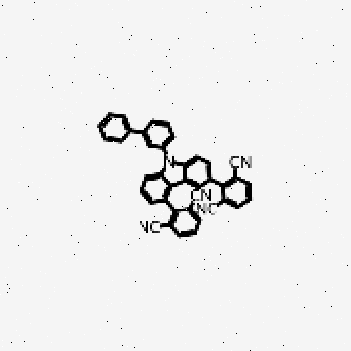 N#Cc1cccc(C#N)c1-c1ccc2c(c1)c1c(-c3c(C#N)cccc3C#N)cccc1n2-c1cccc(-c2ccccc2)c1